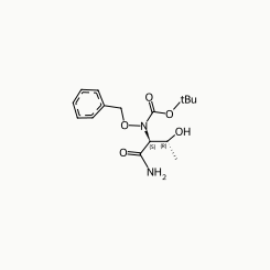 C[C@@H](O)[C@@H](C(N)=O)N(OCc1ccccc1)C(=O)OC(C)(C)C